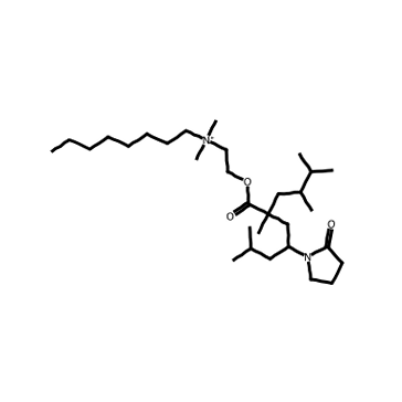 CCCCCCCC[N+](C)(C)CCOC(=O)C(C)(CC(C)C(C)C)CC(CC(C)C)N1CCCC1=O